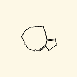 C1=C2CCCCCCCCC/C=C\2CC1